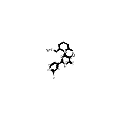 COCC1CCCC(C)N1c1nc(-c2ccnc(F)c2)[nH]c(=O)c1Cl